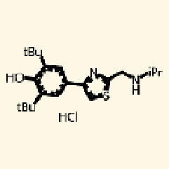 CC(C)NCc1nc(-c2cc(C(C)(C)C)c(O)c(C(C)(C)C)c2)cs1.Cl